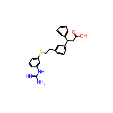 N=C(N)Nc1cccc(SCCc2cccc(C(CC(=O)O)c3ccccc3)c2)c1